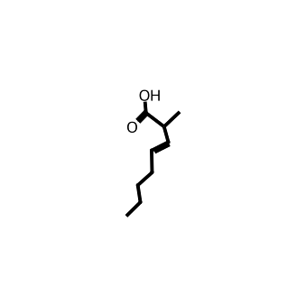 CCCC/C=C/C(C)C(=O)O